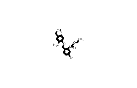 CCOC(=O)Nc1cc(Br)ccc1COc1ccc(CC)cc1C